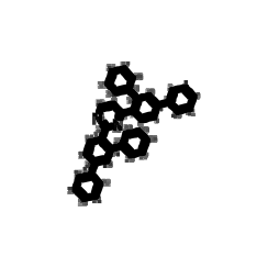 c1ccc(-c2ccc(-c3ccnc(-c4ccc(-c5ccccc5)cc4-c4ccccc4)n3)c(-c3ccccc3)c2)cc1